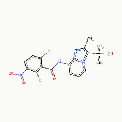 Cc1nc2c(NC(=O)c3c(Cl)ccc([N+](=O)[O-])c3Cl)cccn2c1C(C)(C)O